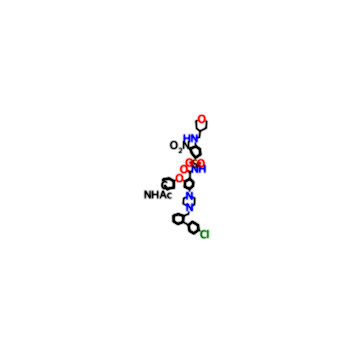 CC(=O)Nc1cccc(Oc2cc(N3CCN(Cc4ccccc4-c4ccc(Cl)cc4)CC3)ccc2C(=O)NS(=O)(=O)c2ccc(NCC3CCOCC3)c([N+](=O)[O-])c2)c1